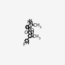 CC(C)n1cnnc1-c1cccc(NC(=O)c2cc(-c3ccc(F)nc3)cn(C)c2=O)n1